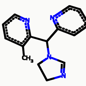 Cc1cccnc1C(c1ccccn1)N1C=NCC1